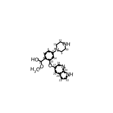 COC(O)c1ccc(N2CCNCC2)cc1Oc1cnc2[nH]ccc2c1